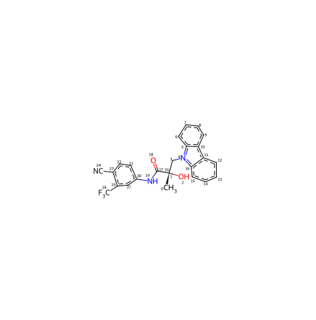 C[C@](O)(Cn1c2ccccc2c2ccccc21)C(=O)Nc1ccc(C#N)c(C(F)(F)F)c1